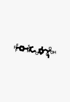 CCOC(Cc1ccc(OCCc2nc(-c3ccc(C(F)(F)F)cc3)sc2C)cc1C)C(=O)O